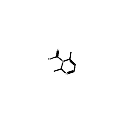 CC1=CC=NC(C)N1C(=O)Cl